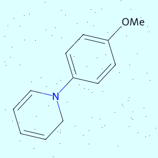 COc1ccc(N2C=CC=CC2)cc1